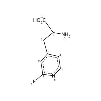 NC(Cc1ccnc(F)c1)C(=O)O